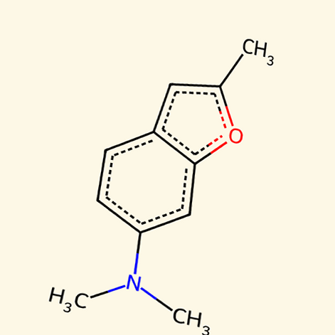 Cc1cc2ccc(N(C)C)cc2o1